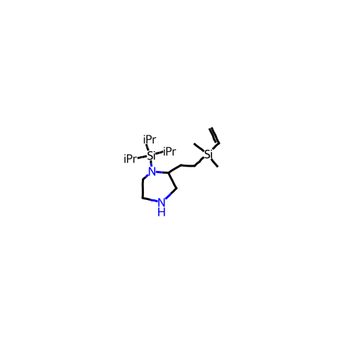 C=C[Si](C)(C)CCC1CNCCN1[Si](C(C)C)(C(C)C)C(C)C